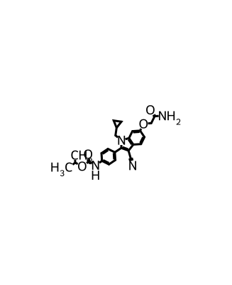 CC(C)OC(=O)Nc1ccc(-c2c(C#N)c3ccc(OCC(N)=O)cc3n2CC2CC2)cc1